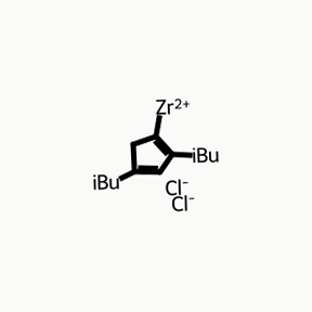 CCC(C)C1=CC(C(C)CC)=[C]([Zr+2])C1.[Cl-].[Cl-]